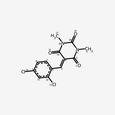 CN1C(=O)C(=Cc2ccc(Cl)cc2Cl)C(=O)N(C)C1=O